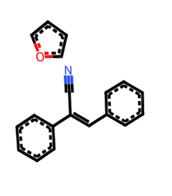 N#CC(=Cc1ccccc1)c1ccccc1.c1ccoc1